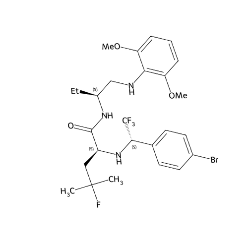 CC[C@@H](CNc1c(OC)cccc1OC)NC(=O)[C@H](CC(C)(C)F)N[C@@H](c1ccc(Br)cc1)C(F)(F)F